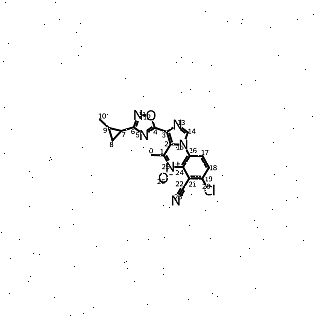 Cc1c2c(-c3nc(C4CC4C)no3)ncn2c2ccc(Cl)c(C#N)c2[n+]1[O-]